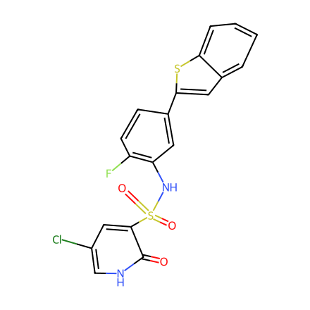 O=c1[nH]cc(Cl)cc1S(=O)(=O)Nc1cc(-c2cc3ccccc3s2)ccc1F